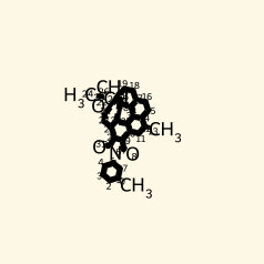 Cc1cccc(-n2c(=O)c3c4cc(C)c5ccc6ccc7c(OC(C)(C)C)cc(c3c2=O)c2c7c6c5c42)c1